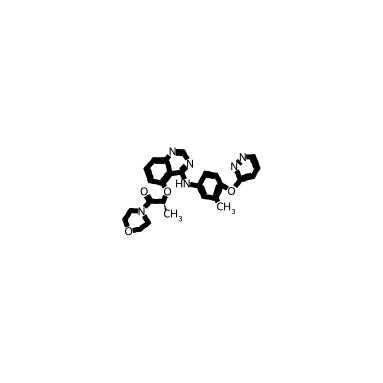 Cc1cc(Nc2ncnc3cccc(O[C@H](C)C(=O)N4CCOCC4)c23)ccc1Oc1cccnn1